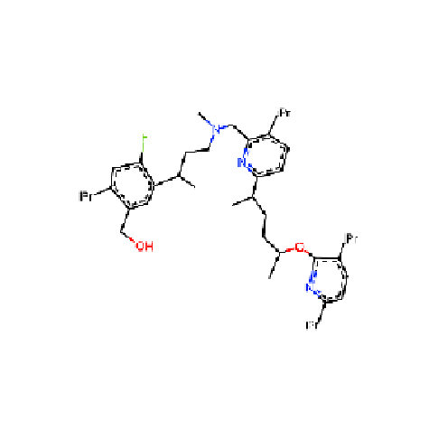 CC(CCC(C)c1ccc(C(C)C)c(CN(C)CCC(C)c2cc(CO)c(C(C)C)cc2F)n1)Oc1nc(C(C)C)ccc1C(C)C